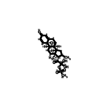 CC1C[C@H]2[C@@H]3CCC4=CC(=O)C=C[C@]4(C)[C@H]3CC[C@]2(C)[C@H]1C(=O)C(O)(O)OS(C)(=O)=O